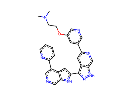 CN(C)CCOc1cncc(-c2cc3c(-c4cc5c(-c6ccccn6)cncc5[nH]4)n[nH]c3cn2)c1